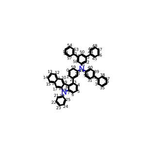 C1=CC(c2cccc3c2c2cc4ccccc4cc2n3-c2ccccc2)=CC(N(c2ccc(-c3ccccc3)cc2)c2cc(-c3ccccc3)cc(-c3ccccc3)c2)C1